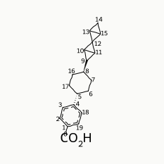 O=C(O)c1ccc([C@H]2CC[C@H](C3C4C3C43C4CC43)CC2)cc1